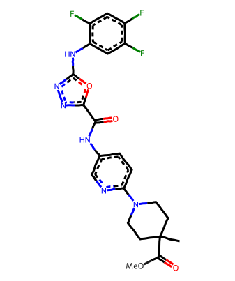 COC(=O)C1(C)CCN(c2ccc(NC(=O)c3nnc(Nc4cc(F)c(F)cc4F)o3)cn2)CC1